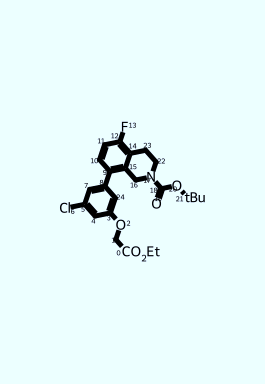 CCOC(=O)COc1cc(Cl)cc(-c2ccc(F)c3c2CN(C(=O)OC(C)(C)C)CC3)c1